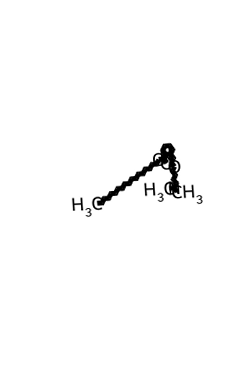 CCCCCCCCCCCCCCCCCCOC(=O)N1CCCCC1CCOCCCCN(C)C